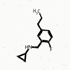 CCCc1ccc(F)c(CNC2CC2)c1